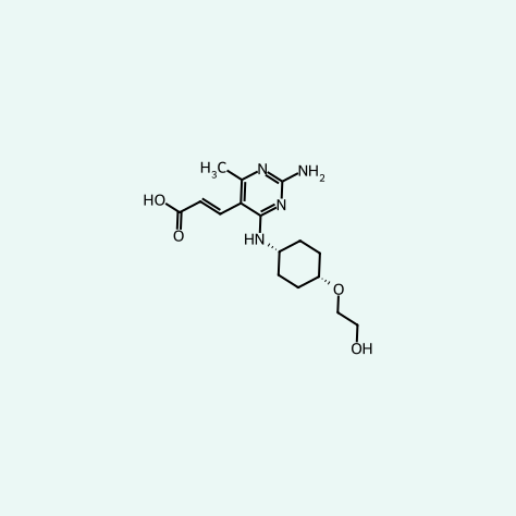 Cc1nc(N)nc(N[C@H]2CC[C@@H](OCCO)CC2)c1C=CC(=O)O